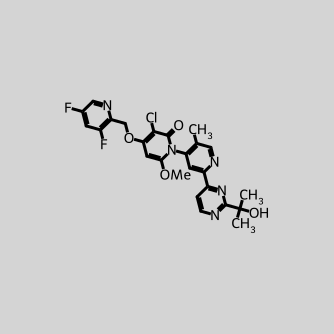 COc1cc(OCc2ncc(F)cc2F)c(Cl)c(=O)n1-c1cc(-c2ccnc(C(C)(C)O)n2)ncc1C